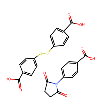 O=C(O)c1ccc(N2C(=O)CCC2=O)cc1.O=C(O)c1ccc(SSc2ccc(C(=O)O)cc2)cc1